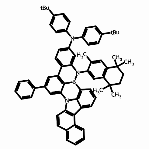 Cc1cc2c(cc1N1B3c4c(cc(-c5ccccc5)cc4-n4c5ccc6ccccc6c5c5cccc3c54)-c3ccc(N(c4ccc(C(C)(C)C)cc4)c4ccc(C(C)(C)C)cc4)cc31)C(C)(C)CCC2(C)C